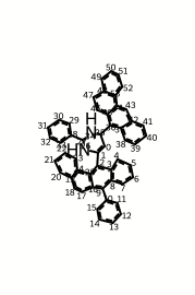 C1=C(c2c3ccccc3c(-c3ccccc3)c3ccc4ccccc4c23)NC(c2ccccc2)NC1c1c2ccccc2cc2c1ccc1ccccc12